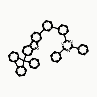 c1ccc(-c2nc(-c3ccccc3)nc(-c3cccc(-c4cccc(-c5ccc6c(c5)sc5cc(C7(c8ccccc8)c8ccccc8-c8ccccc87)ccc56)c4)c3)n2)cc1